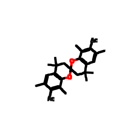 CC(=O)c1c(C)cc2c(c1C)OC1(CC2(C)C)CC(C)(C)c2cc(C)c(C(C)=O)c(C)c2O1